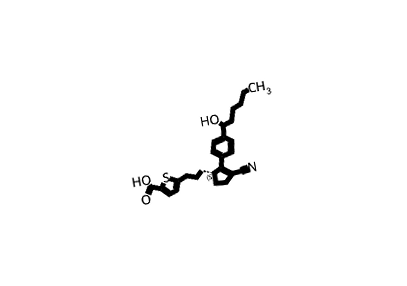 CCCCCC(O)c1ccc(C2=C(C#N)CC[C@@H]2CCCc2ccc(C(=O)O)s2)cc1